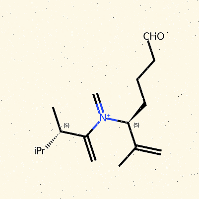 C=C(C)[C@H](CCCC=O)[N+](=C)C(=C)[C@@H](C)C(C)C